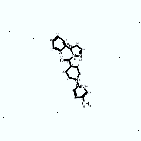 Cc1ccc(N2CCC(C(=O)N3N=CCC3c3ccccc3)CC2)nc1